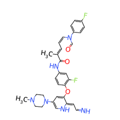 C/C(=C\C=C/N(C=O)c1ccc(F)cc1)C(=O)Nc1ccc(OC2=CC(N3CCN(C)CC3)=CN/C2=C\C=N)c(F)c1